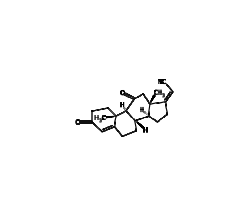 C[C@]12CCC(=O)C=C1CC[C@@H]1[C@@H]2C(=O)C[C@]2(C)/C(=C\C#N)CC[C@@H]12